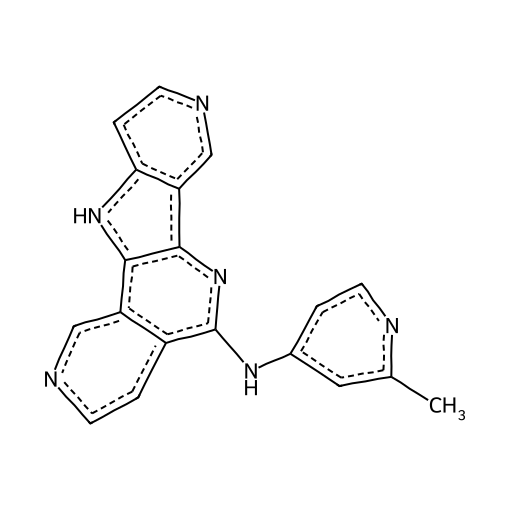 Cc1cc(Nc2nc3c4cnccc4[nH]c3c3cnccc23)ccn1